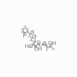 C[C@H]([C@@H]1O[C@H]1C[C@@H]1OC[C@H](CC(=O)CC(=O)c2ccccc2F)[C@@H](O)[C@H]1O)[C@H](C)O